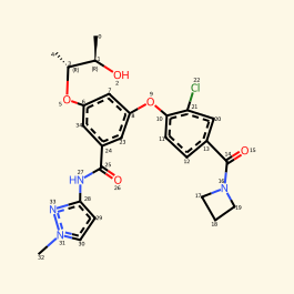 C[C@@H](O)[C@@H](C)Oc1cc(Oc2ccc(C(=O)N3CCC3)cc2Cl)cc(C(=O)Nc2ccn(C)n2)c1